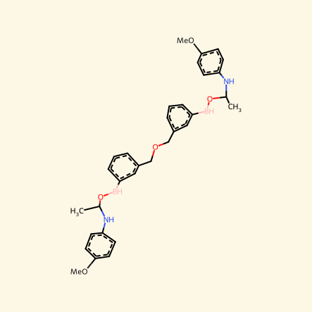 COc1ccc(NC(C)OBc2cccc(COCc3cccc(BOC(C)Nc4ccc(OC)cc4)c3)c2)cc1